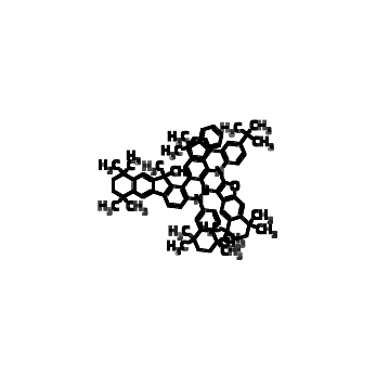 CC(C)(C)c1ccc(N2c3oc4cc5c(cc4c3B3c4c(cc6c(c42)-c2ccccc2C6(C)C)-c2c(ccc4c2C(C)(C)c2cc6c(cc2-4)C(C)(C)CCC6(C)C)N3c2ccc3c(c2)C(C)(C)CCC3(C)C)C(C)(C)CCC5(C)C)c(-c2ccccc2)c1